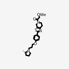 COCC(=O)N1CCc2nc(-c3ccc(OCCCN4CCC[C@@H]4C)cc3)sc2C1